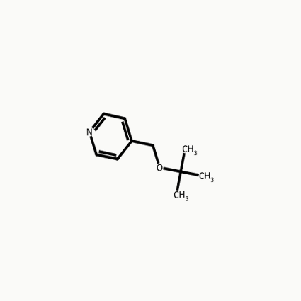 CC(C)(C)OCc1ccncc1